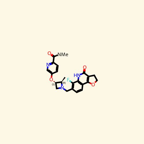 CNC(=O)c1ccc(O[C@H]2CN(Cc3ccc4c5c(c(=O)[nH]c4c3F)CCO5)[C@@H]2C)cn1